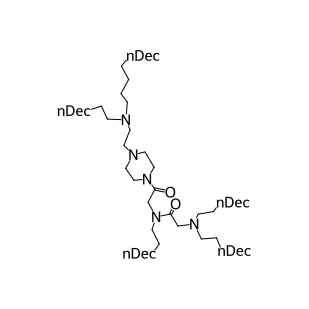 CCCCCCCCCCCCCCN(CCCCCCCCCCCC)CCN1CCN(C(=O)CN(CCCCCCCCCCCC)C(=O)CN(CCCCCCCCCCCC)CCCCCCCCCCCC)CC1